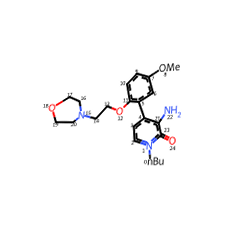 CCCCn1ccc(-c2cc(OC)ccc2OCCN2CCOCC2)c(N)c1=O